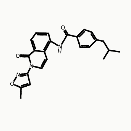 Cc1cc(-n2ccc3c(NC(=O)c4ccc(CC(C)C)cc4)cccc3c2=O)no1